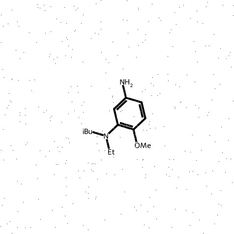 CCC(C)N(CC)c1cc(N)ccc1OC